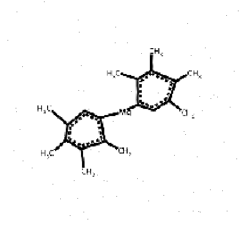 Cc1c[c]([Mg][c]2cc(C)c(C)c(C)c2C)c(C)c(C)c1C